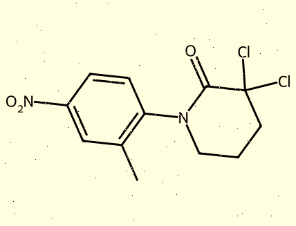 Cc1cc([N+](=O)[O-])ccc1N1CCCC(Cl)(Cl)C1=O